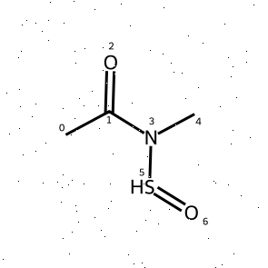 CC(=O)N(C)[SH]=O